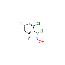 ON=C(Cl)c1c(Cl)cc(F)cc1Cl